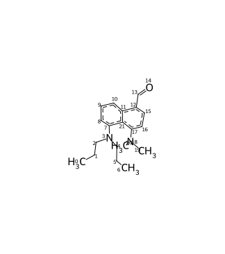 CCCN(CCC)c1cccc2c(C=O)ccc(N(C)C)c12